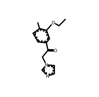 CCOc1cc(C(=O)Cn2ccnc2)ccc1C